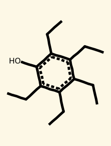 CCc1c(O)c(CC)c(CC)c(CC)c1CC